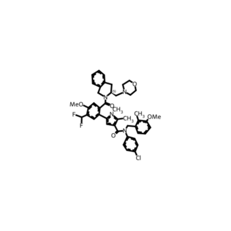 COc1cc(C(=O)N2Cc3ccccc3C[C@H]2CN2CCOCC2)c(-c2cc(C(=O)N(Cc3cccc(OC)c3C)c3ccc(Cl)cc3)c(C)n2C)cc1C(F)F